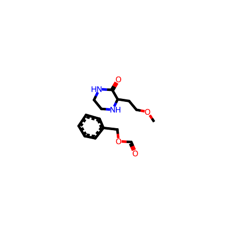 COCCC1NCCNC1=O.O=COCc1ccccc1